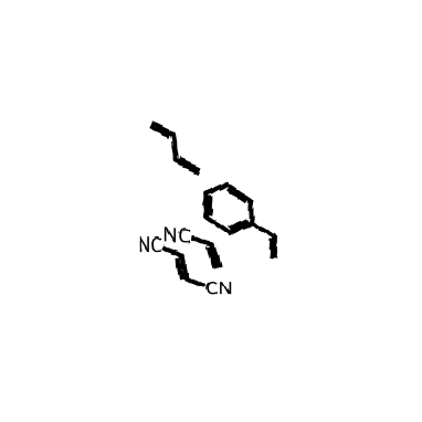 C=CC#N.C=CC=C.C=Cc1ccccc1.N#CC=CC#N